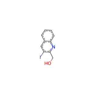 OCc1nc2ccccc2cc1I